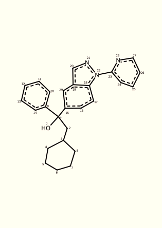 OC(CC1CCCCC1)(c1ccccc1)c1ccc2c(cnn2-c2ccccn2)c1